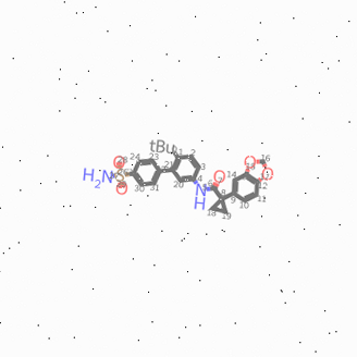 CC(C)(C)c1ccc(NC(=O)C2(c3ccc4c(c3)OCO4)CC2)cc1-c1ccc(S(N)(=O)=O)cc1